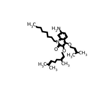 CCCCCCCCn1c(=O)c(OCC=C(C)CCC=C(C)C)c(OCC=C(C)C)c2ccc(N)cc21